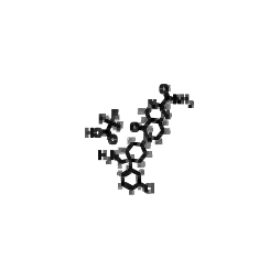 NC[C@]1(c2cccc(Cl)c2)CC[C@H](N2CCc3nc(C(N)=O)ncc3C2=O)CC1.O=C(O)C(F)(F)F